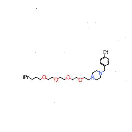 CCc1ccc(CN2CCN(CCOCCOCCOCCOCCCC(C)C)CC2)cc1